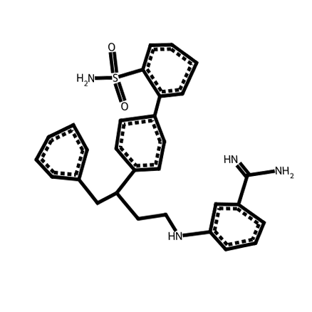 N=C(N)c1cccc(NCCC(Cc2ccccc2)c2ccc(-c3ccccc3S(N)(=O)=O)cc2)c1